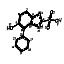 O=S(=O)(O)c1nc2ccc(O)c(-c3ccccc3)c2[nH]1